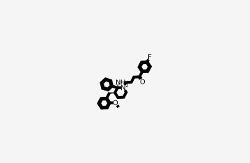 COc1ccccc1C[C@@H]1CCCN(CCCC(=O)c2ccc(F)cc2)[C@]1(N)c1ccccc1